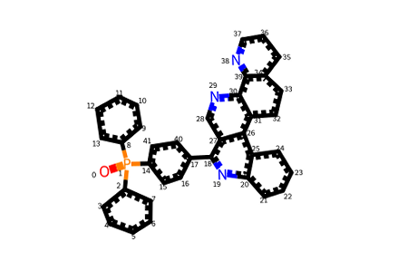 O=P(c1ccccc1)(c1ccccc1)c1ccc(-c2nc3ccccc3c3c2cnc2c3ccc3cccnc32)cc1